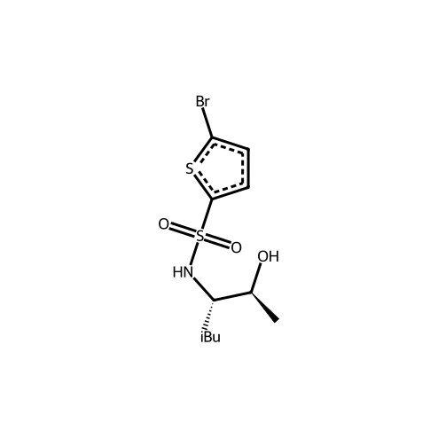 CCC(C)[C@H](NS(=O)(=O)c1ccc(Br)s1)[C@H](C)O